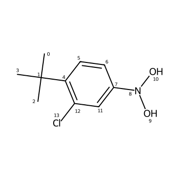 CC(C)(C)c1ccc(N(O)O)cc1Cl